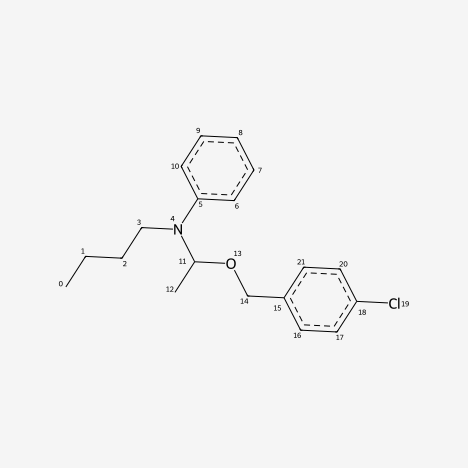 CCCCN(c1ccccc1)C(C)OCc1ccc(Cl)cc1